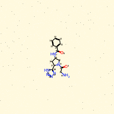 NCC(=O)N1CC(NC(=O)c2ccccc2)CC1c1nnn[nH]1